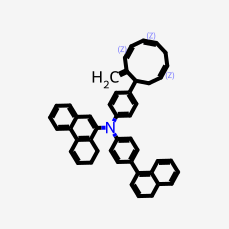 C=C1/C=C\C=C/C/C=C\CC1c1ccc(N(c2ccc(C3=C4C=CC=CC4CC=C3)cc2)c2cc3ccccc3c3c2CCC=C3)cc1